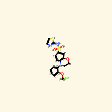 O=S(=O)(Nc1nccs1)c1ccc2c(c1)OCCN2c1ccccc1OC(F)F